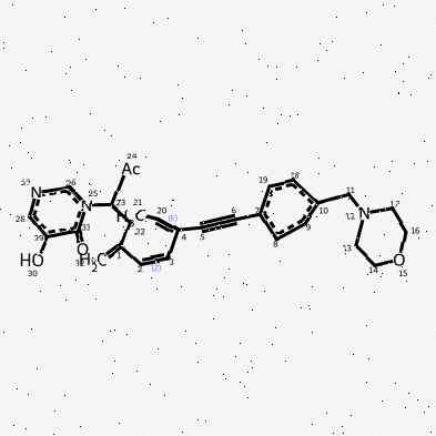 C=C(/C=C\C(C#Cc1ccc(CN2CCOCC2)cc1)=C/C)CC(C(C)=O)n1cncc(O)c1=O